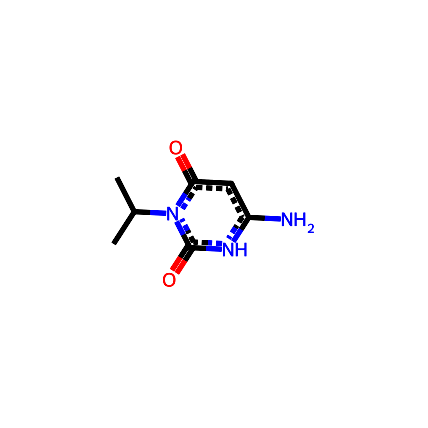 CC(C)n1c(=O)cc(N)[nH]c1=O